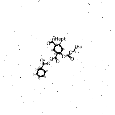 CCCCCCCC(=O)c1ccc(OC(=O)OCC(C)(C)C)c(C(=O)OOC(=O)c2ccccc2)c1